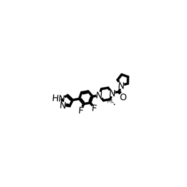 C[C@@H]1CN(c2ccc(-c3cn[nH]c3)c(F)c2F)CCN1C(=O)N1CCCC1